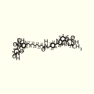 C[C@@H]1CNc2c(sc3ccc4nc(-c5ccc(CNC(=O)CCCCCCCc6ccc7c(c6)n(C)c(=O)n7C6CCC(=O)NC6=O)cc5)ccc4c23)C(=O)N1